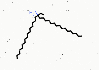 CCCCCCCCCCCCCCCCC(N)(CC)CCCCCCCCCCCCCCCC